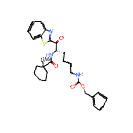 COC1(C(=O)N[C@@H](CCCCNC(=O)OCc2ccccc2)C(=O)c2nc3ccccc3s2)CCCCC1